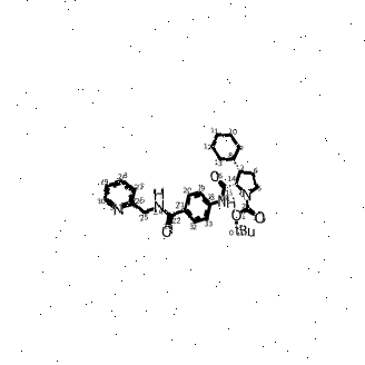 CC(C)(C)OC(=O)N1CC[C@@H](C2CCCCC2)[C@H]1C(=O)Nc1ccc(C(=O)NCc2ccccn2)cc1